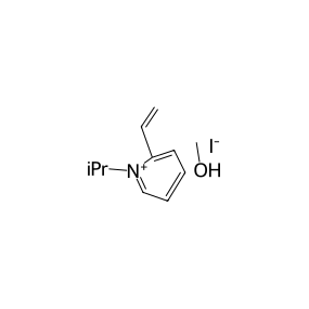 C=Cc1cccc[n+]1C(C)C.CO.[I-]